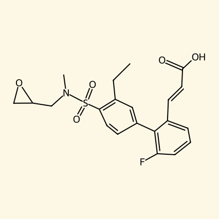 CCc1cc(-c2c(F)cccc2C=CC(=O)O)ccc1S(=O)(=O)N(C)CC1CO1